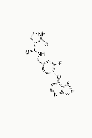 O=C1NCCC1C(=O)NCc1ccc(Oc2ccnc3cc(I)sc23)c(F)c1